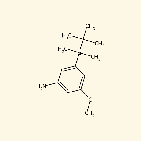 [CH2]Oc1cc(N)cc([Si](C)(C)C(C)(C)C)c1